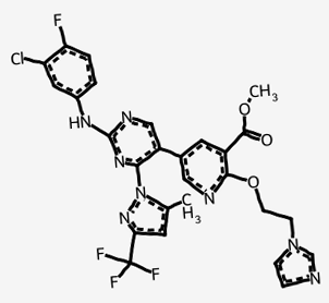 COC(=O)c1cc(-c2cnc(Nc3ccc(F)c(Cl)c3)nc2-n2nc(C(F)(F)F)cc2C)cnc1OCCn1ccnc1